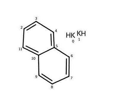 [KH].[KH].c1ccc2ccccc2c1